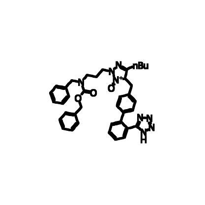 CCCCC1=NN(CCCN(Cc2ccccc2)C(=O)OCc2ccccc2)[N+](=O)C1Cc1ccc(-c2ccccc2-c2nnn[nH]2)cc1